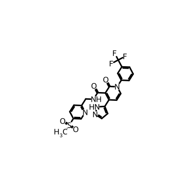 CS(=O)(=O)c1ccc(CNC(=O)c2c(-c3ccn[nH]3)ccn(-c3cccc(C(F)(F)F)c3)c2=O)nc1